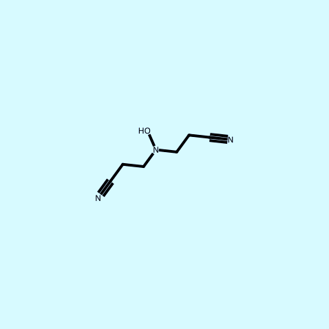 N#CCCN(O)CCC#N